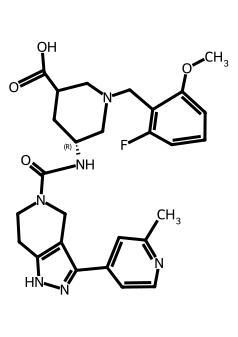 COc1cccc(F)c1CN1CC(C(=O)O)C[C@@H](NC(=O)N2CCc3[nH]nc(-c4ccnc(C)c4)c3C2)C1